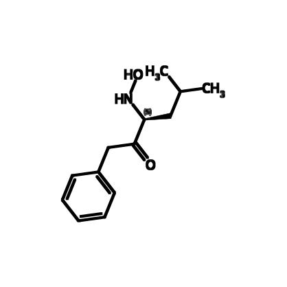 CC(C)C[C@H](NO)C(=O)Cc1ccccc1